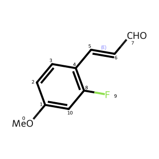 COc1ccc(/C=C/C=O)c(F)c1